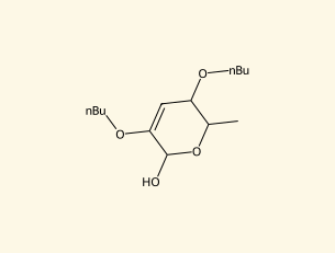 CCCCOC1=CC(OCCCC)C(C)OC1O